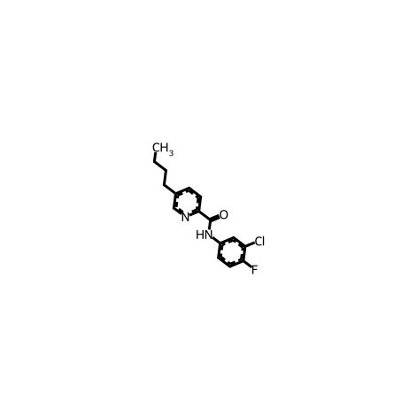 CCCCc1ccc(C(=O)Nc2ccc(F)c(Cl)c2)nc1